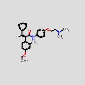 CC/C(=C(/C(=O)Nc1ccc(OCCN(C)C)cc1)c1ccc(OCOC)cc1C)c1ccccc1